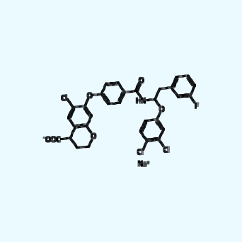 O=C(NC(Cc1cccc(F)c1)Oc1ccc(Cl)c(Cl)c1)c1ccc(Oc2cc3c(cc2Cl)C(C(=O)[O-])CCO3)cc1.[Na+]